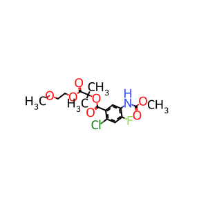 COCCOC(=O)C(C)(C)OC(=O)c1cc(NC(=O)OC)c(F)cc1Cl